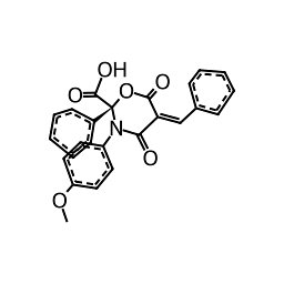 COc1ccc(N2C(=O)C(=Cc3ccccc3)C(=O)O[C@]2(C(=O)O)c2ccccc2)cc1